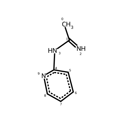 CC(=N)Nc1ccccn1